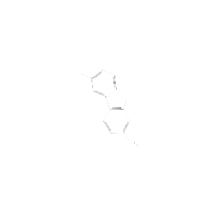 Cc1ccc2oc3cc(C#N)ccc3c2c1